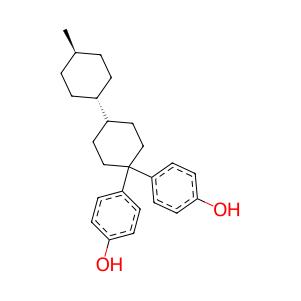 C[C@H]1CC[C@H](C2CCC(c3ccc(O)cc3)(c3ccc(O)cc3)CC2)CC1